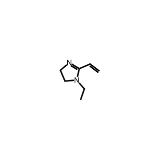 C=CC1=NCCN1CC